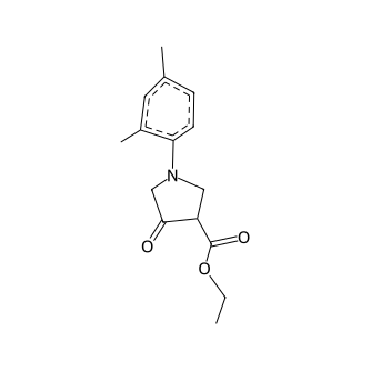 CCOC(=O)C1CN(c2ccc(C)cc2C)CC1=O